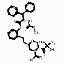 COC(=O)N[C@H](C(=O)Nc1ccccc1CC[C@@H]1CN(C(=O)O)[C@H](C(=O)C(C)(C)C)CO1)C(c1ccccc1)c1ccccc1